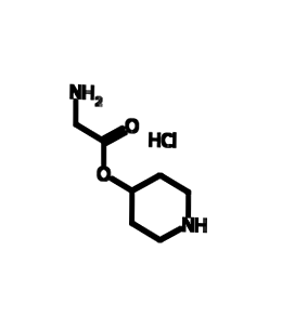 Cl.NCC(=O)OC1CCNCC1